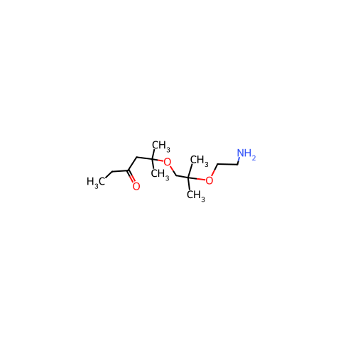 CCC(=O)CC(C)(C)OCC(C)(C)OCCN